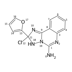 NC1=Nc2ccccc2C2=NC(Cl)(c3ccco3)NN12